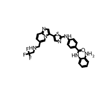 Nc1ccccc1NC(=O)c1ccc(Nc2ncc(-c3cnc4ccc(CNCC(F)(F)F)cn34)s2)cc1